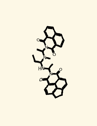 CCC(NC(C)N1C(=O)c2ccc3c4c(ccc(c24)C1=O)CC3)N(C)C(C)N1C(=O)c2cccc3cccc(c23)C1=O